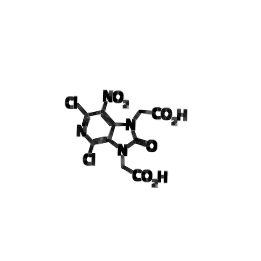 O=C(O)Cn1c(=O)n(CC(=O)O)c2c([N+](=O)[O-])c(Cl)nc(Cl)c21